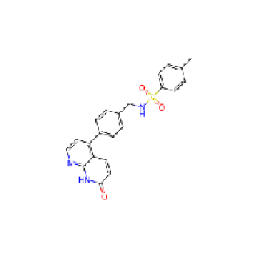 Cc1ccc(S(=O)(=O)NCc2ccc(-c3ccnc4[nH]c(=O)ccc34)cc2)cc1